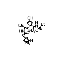 CC[C@@H]1C[C@]1(NC(=O)[C@@H]1C[C@@H](O)CN1C(=O)[C@@H](NC(=O)OC1C[C@@H]2C[C@@H]2C1)C(C)(C)C)C(=O)O